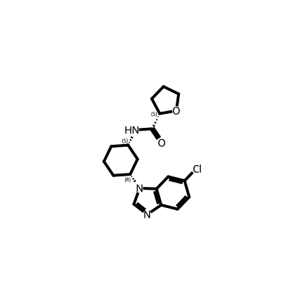 O=C(N[C@H]1CCC[C@@H](n2cnc3ccc(Cl)cc32)C1)[C@@H]1CCCO1